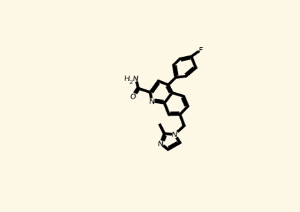 Cc1nccn1Cc1ccc2c(-c3ccc(F)cc3)cc(C(N)=O)nc2c1